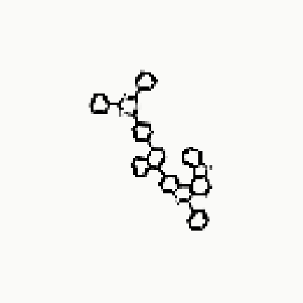 c1ccc(-c2nc(-c3ccccc3)nc(-c3ccc(-c4ccc(-c5ccc6nc(-c7ccccc7)c7ccc8oc9ccccc9c8c7c6c5)c5ccccc45)cc3)n2)cc1